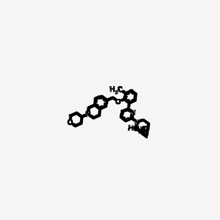 Cc1cccc(-c2cccc(N3CC[C@@]4(C(=O)O)C[C@H]4C3)n2)c1OCc1ccc2c(c1)CCN(C1CCOCC1)C2